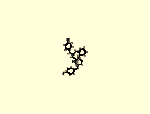 Fc1ccc(CN2CCN3c4ccccc4CN(Cc4ccc(Br)cc4)C[C@@H]3C2)cc1